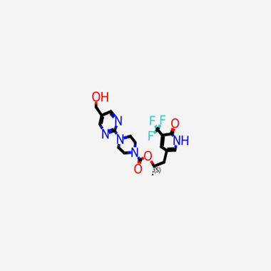 C[C@@H](Cc1c[nH]c(=O)c(C(F)(F)F)c1)OC(=O)N1CCN(c2ncc(CO)cn2)CC1